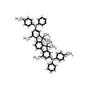 CC1=CC(N(c2ccccc2)c2ccc(C)cc2)=CC2C1c1ccc3c(c1C2(C)C)C(C)(C)c1cc(N(c2ccccc2)c2ccc(C)cc2)cc(C)c1-3